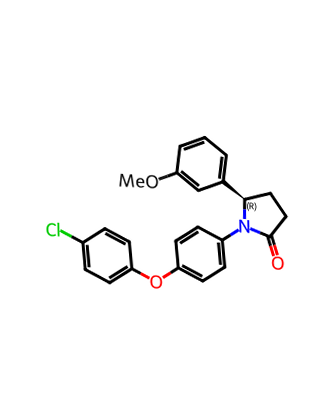 COc1cccc([C@H]2CCC(=O)N2c2ccc(Oc3ccc(Cl)cc3)cc2)c1